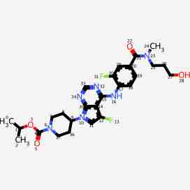 CC(C)OC(=O)N1CCC(n2cc(F)c3c(Nc4ccc(C(=O)N(C)CCCO)cc4F)ncnc32)CC1